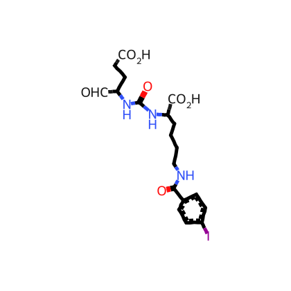 O=CC(CCC(=O)O)NC(=O)NC(CCCCNC(=O)c1ccc(I)cc1)C(=O)O